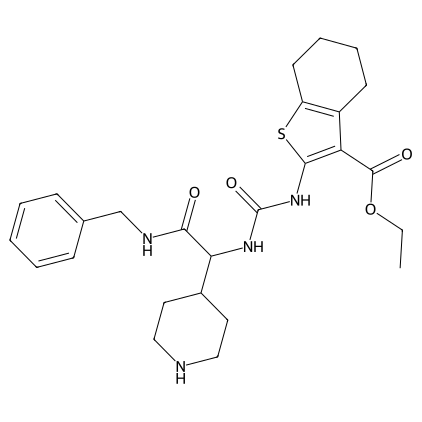 CCOC(=O)c1c(NC(=O)NC(C(=O)NCc2ccccc2)C2CCNCC2)sc2c1CCCC2